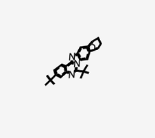 CC(C)(C)c1ccc2c(c1)nc(C(C)(C)C)n1c3cc4c(cc3nc21)C1CCC4O1